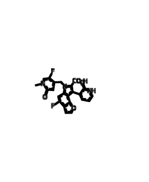 Cn1cc(F)c(Cn2c(C(=O)O)c(-c3ccc[nH]c3=O)c3c4occc4c(F)cc32)cc1=O